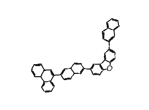 C1=CC2C=C(C3=CC4C=CC(c5ccc6oc7ccc(-c8ccc9ccccc9c8)cc7c6c5)=CC4C=C3)c3ccccc3C2C=C1